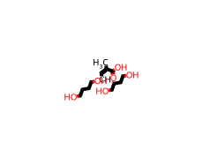 CC=C(C)C(=O)O.OCCCCO.OCCCCO